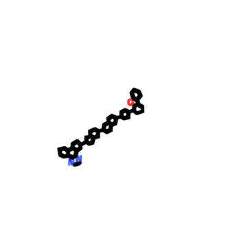 C1=c2c(oc3ccccc23)=C(c2ccc(-c3ccc4cc(-c5ccc6cc(-c7ccc8c9ccccc9c9nccnc9c8c7)ccc6c5)ccc4c3)cc2)CC1